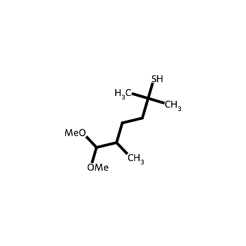 COC(OC)C(C)CCC(C)(C)S